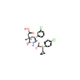 C[C@@]1(CC(=O)O)C[C@H](c2cccc(Cl)c2)[C@H](CC(=O)[C@H](c2ccc(Cl)cc2)C2CC2)NC1=O